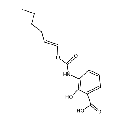 CCCCC=COC(=O)Nc1cccc(C(=O)O)c1O